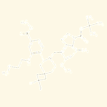 COCCNc1cc(C(=O)OC)ccc1[C@H]1CC2(CCN1Cc1c(OC)cc(C)c3c1ccn3C(=O)OC(C)(C)C)CC(F)(F)C2